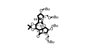 CCCCOC[C@H]1[C@@H](OCCCC)C[C@@H]2[C@H]([C@H]3OC(C)(C)O[C@@H]3[C@@H]3C(=O)N4[C@@H]3C[C@H](OCCCC)[C@@H]4COCCCC)C(=O)N21